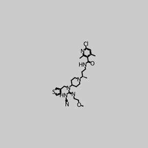 COCCN=C(NC#N)N(Cc1ccsc1)C1CCN([C@H](C)CCNC(=O)c2c(C)cc(Cl)nc2C)CC1